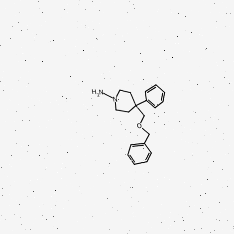 NN1CCC(COCc2ccccc2)(c2ccccc2)CC1